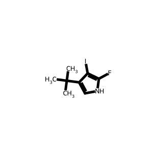 CC(C)(C)c1c[nH]c(F)c1I